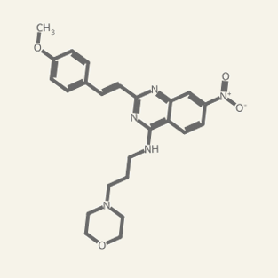 COc1ccc(/C=C/c2nc(NCCCN3CCOCC3)c3ccc([N+](=O)[O-])cc3n2)cc1